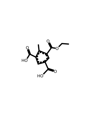 CCOC(=O)c1cc(C(=O)O)cc(C(=O)O)c1C